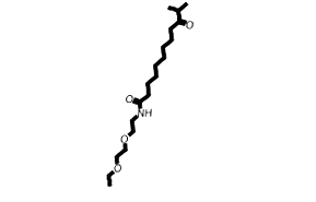 CCOCCOCCNC(=O)CCCCCCCCC(=O)C(C)C